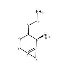 NCCC1CCC2=C(C2)[C@@H]1N